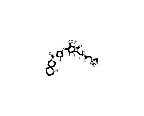 C[C@@H](NC(=O)Cn1cnnn1)[C@H]1C(=O)N2C(C(=O)O)=C(S[C@@H]3CN[C@H](C(=O)N4CCC5(CCCCN5)CC4)C3)[C@H](C)[C@H]12